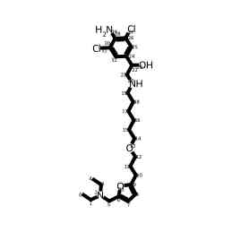 CCN(CC)Cc1ccc(CCCOCCCCCCNCC(O)c2cc(Cl)c(N)c(Cl)c2)o1